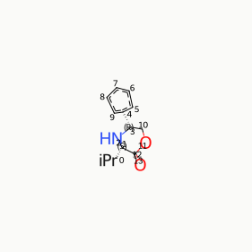 CC(C)[C@@H]1N[C@H](c2ccccc2)COC1=O